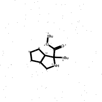 CCCCC1(C(=O)OC(C)(C)C)NCC2CCCC21